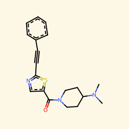 CN(C)C1CCN(C(=O)c2cnc(C#Cc3ccccc3)s2)CC1